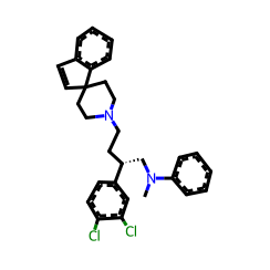 CN(C[C@@H](CCN1CCC2(C=Cc3ccccc32)CC1)c1ccc(Cl)c(Cl)c1)c1ccccc1